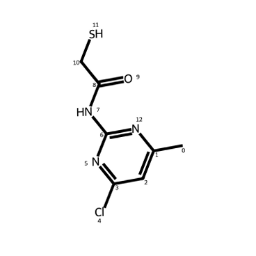 Cc1cc(Cl)nc(NC(=O)CS)n1